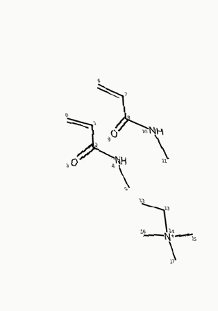 C=CC(=O)NC.C=CC(=O)NC.CC[N+](C)(C)C